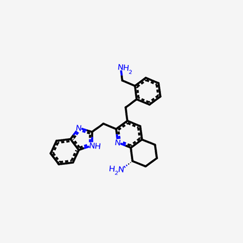 NCc1ccccc1Cc1cc2c(nc1Cc1nc3ccccc3[nH]1)[C@@H](N)CCC2